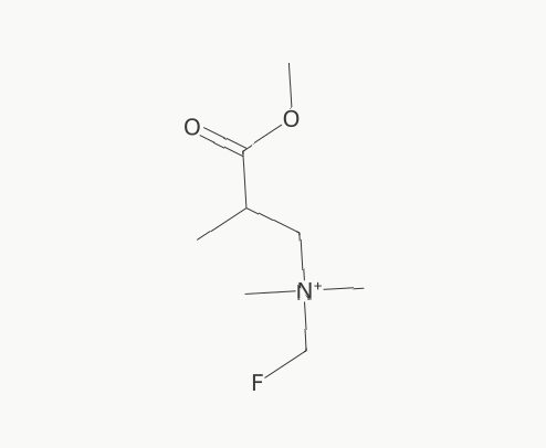 COC(=O)C(C)C[N+](C)(C)CF